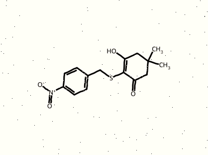 CC1(C)CC(=O)C(SCc2ccc([N+](=O)[O-])cc2)=C(O)C1